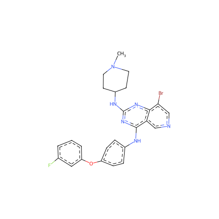 CN1CCC(Nc2nc(Nc3ccc(Oc4cccc(F)c4)cc3)c3cncc(Br)c3n2)CC1